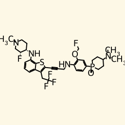 CN1CC[C@H](Nc2cccc3c(CC(F)(F)F)c(C#CCNc4ccc(P5(=O)CCC(N(C)C)CC5)cc4OCF)sc23)[C@H](F)C1